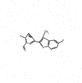 Cc1c(-c2ccc(F)c(C=O)n2)sc2ccc(F)cc12